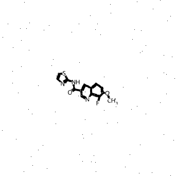 COc1ccc2cc(C(=O)Nc3nccs3)cnc2c1F